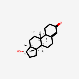 C[C@]12CC[C@H]3[C@@H](CCC4=CC(=O)CC[C@@]43C)[C@@H]1CC[C@@H]2O.[H+]